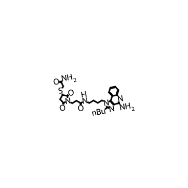 CCCCc1nc2c(N)nc3ccccc3c2n1CCCCNC(=O)CCN1C(=O)CC(SCC(N)=O)C1=O